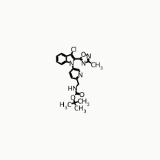 Cc1noc(-c2c(Cl)c3ccccc3n2-c2ccc(CNC(=O)OC(C)(C)C)nc2)n1